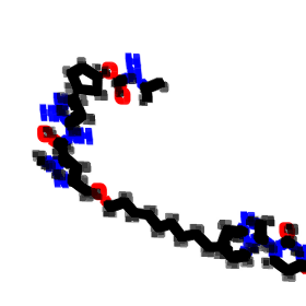 CC(C)NC(=O)O[C@H]1CC[C@@H](c2cc(NC(=O)c3cc(COCCCCCCCCCc4ccn5c(N6CCC(=O)NC6=O)cnc5c4)nn3C)[nH]n2)C1